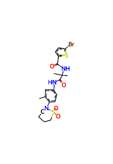 Cc1cc(NC(=O)C(C)(C)NC(=O)c2ccc(Br)s2)ccc1N1CCCCS1(=O)=O